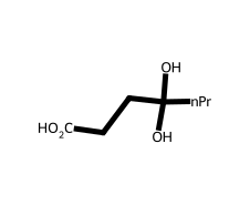 CCCC(O)(O)CCC(=O)O